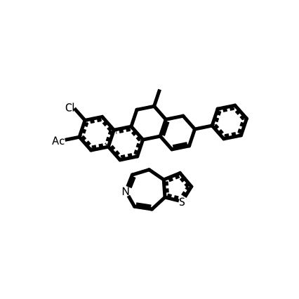 C1=Cc2sccc2CC=N1.CC(=O)c1cc2ccc3c(c2cc1Cl)CC(C)C1=C3C=CC(c2ccccc2)C1